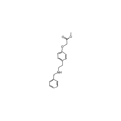 COC(=O)COc1ccc(CCNCc2ccccc2)cc1